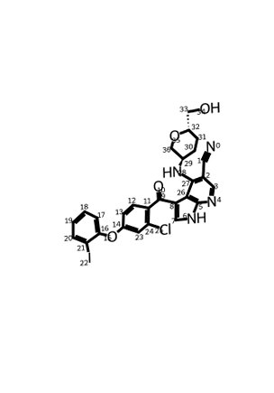 N#Cc1cnc2[nH]cc(C(=O)c3ccc(Oc4ccccc4I)cc3Cl)c2c1N[C@@H]1CC[C@@H](CO)OC1